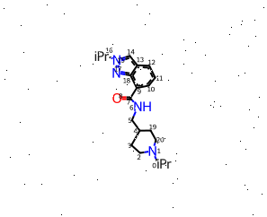 CC(C)N1CCC(CNC(=O)c2cccc3cn(C(C)C)nc23)CC1